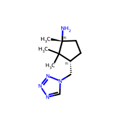 CC1(C)[C@@H](Cn2cnnn2)CC[C@@]1(C)N